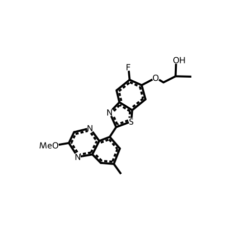 COc1cnc2c(-c3nc4cc(F)c(OCC(C)O)cc4s3)cc(C)cc2n1